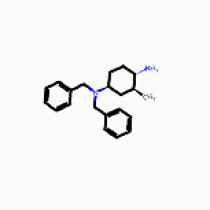 C[C@H]1C[C@@H](N(Cc2ccccc2)Cc2ccccc2)CC[C@@H]1N